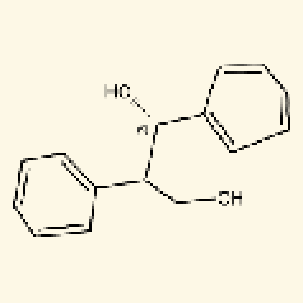 OCC(c1ccccc1)[C@H](O)c1ccccc1